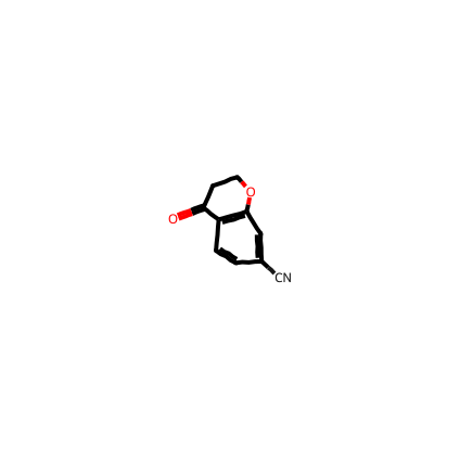 N#Cc1ccc2c(c1)OCCC2=O